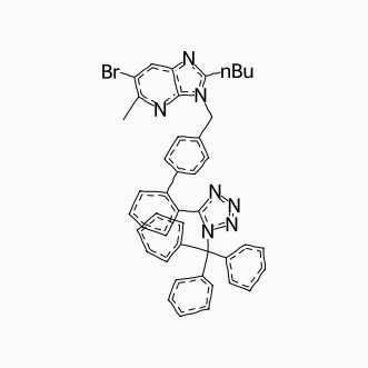 CCCCc1nc2cc(Br)c(C)nc2n1Cc1ccc(-c2ccccc2-c2nnnn2C(c2ccccc2)(c2ccccc2)c2ccccc2)cc1